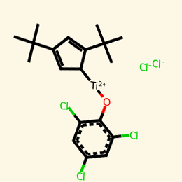 CC(C)(C)C1=C[CH]([Ti+2][O]c2c(Cl)cc(Cl)cc2Cl)C(C(C)(C)C)=C1.[Cl-].[Cl-]